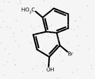 O=C(O)c1cccc2c(Br)c(O)ccc12